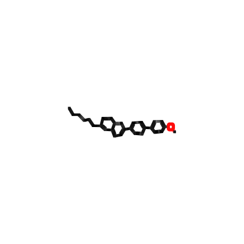 CCCCCCc1ccc2cc(-c3ccc(-c4ccc(OC)cc4)cc3)ccc2c1